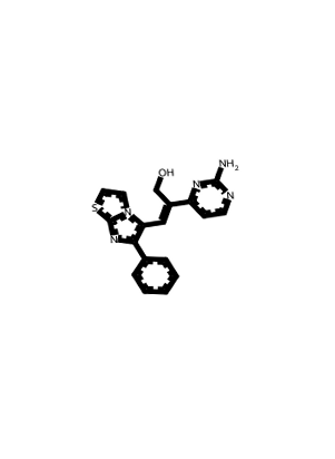 Nc1nccc(C(=Cc2c(-c3ccccc3)nc3sccn23)CO)n1